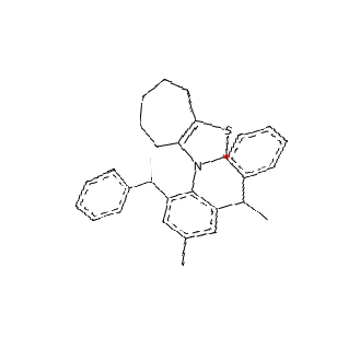 Cc1cc(C(C)c2ccccc2)c(N2CSC3=C2CCCCC3)c(C(C)c2ccccc2)c1